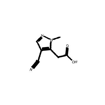 Cn1ncc(C#N)c1CC(=O)O